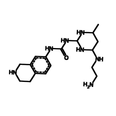 CC1CC(NCCN)NC(NC(=O)Nc2ccc3c(c2)CNCC3)N1